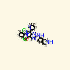 O=c1c2cnc(Nc3ccc4c(c3)CNCC4)nc2c(-c2ccccn2)nn1-c1c(Cl)cccc1Cl